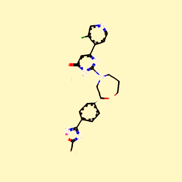 Cc1nc(-c2ccc([C@H]3CN(c4nc(-c5ccncc5F)cc(=O)n4C)CCCO3)cc2)no1